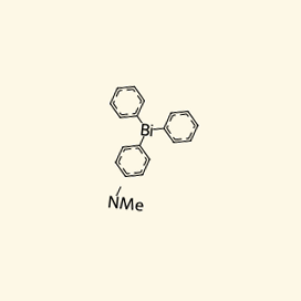 CNC.c1cc[c]([Bi]([c]2ccccc2)[c]2ccccc2)cc1